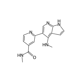 CNC(=O)c1ccnc(-c2cnc3[nH]ccc3c2NC)c1